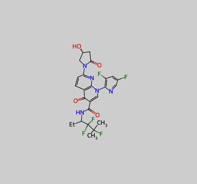 CCC(NC(=O)c1cn(-c2ncc(F)cc2F)c2nc(N3C[C@@H](O)CC3=O)ccc2c1=O)C(F)(F)C(C)(C)F